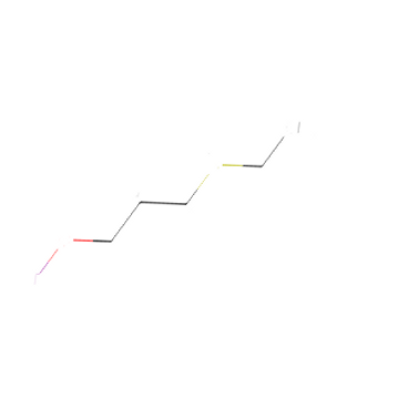 CCSCCCOI